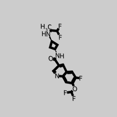 CC(N[C@H]1C[C@H](NC(=O)c2cnc3cc(OC(F)F)c(F)cc3c2)C1)C(F)F